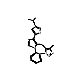 Cc1nnn2c1Cc1c(-c3cc(C(C)C)no3)ncn1-c1ccccc1-2